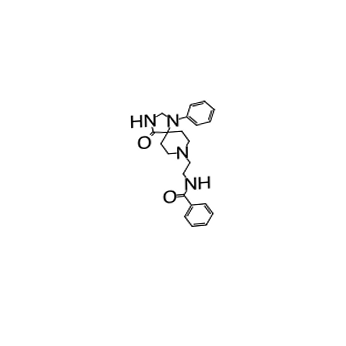 O=C(NCCN1CCC2(CC1)C(=O)NCN2c1ccccc1)c1ccccc1